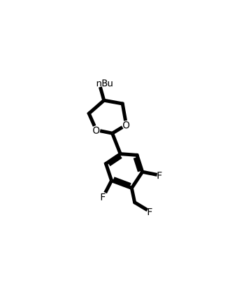 CCCCC1COC(c2cc(F)c(CF)c(F)c2)OC1